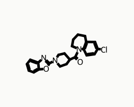 O=C(C1CCN(c2nc3ccccc3o2)CC1)N1CCCCc2cc(Cl)ccc21